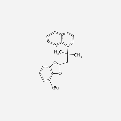 CC(C)(C)c1cccc2c1OC(CC(C)(C)c1cccc3cccnc13)O2